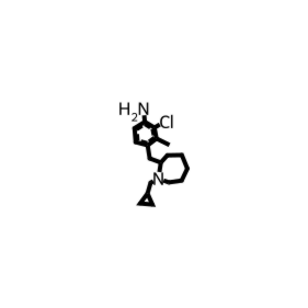 Cc1c(CC2CCCCCN2CC2CC2)ccc(N)c1Cl